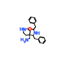 NCC1(C(Cc2ccccc2)NC(=O)Cc2ccccc2)CCNCC1